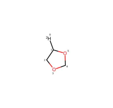 [2H]C1COCO1